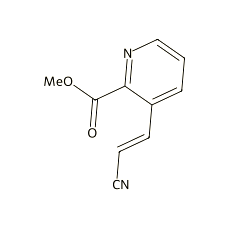 COC(=O)c1ncccc1/C=C/C#N